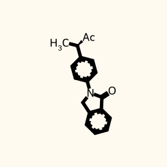 CC(=O)[C@H](C)c1ccc(N2Cc3ccccc3C2=O)cc1